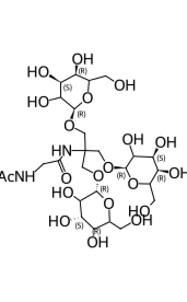 CC(=O)NCC(=O)NC(CO[C@@H]1OC(CO)[C@H](O)[C@H](O)C1O)(CO[C@@H]1OC(CO)[C@H](O)[C@H](O)C1O)CO[C@@H]1OC(CO)[C@H](O)[C@H](O)C1O